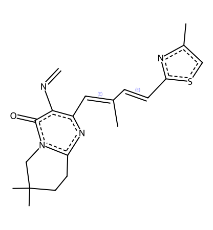 C=Nc1c(/C=C(C)/C=C/c2nc(C)cs2)nc2n(c1=O)CC(C)(C)CC2